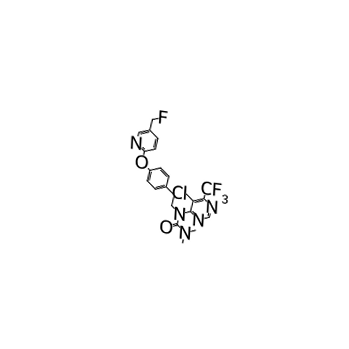 CN(C)C(=O)N(CCc1ccc(Oc2ccc(CF)cn2)cc1)c1ncnc(C(F)(F)F)c1Cl